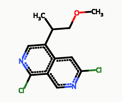 COCC(C)c1cnc(Cl)c2cnc(Cl)cc12